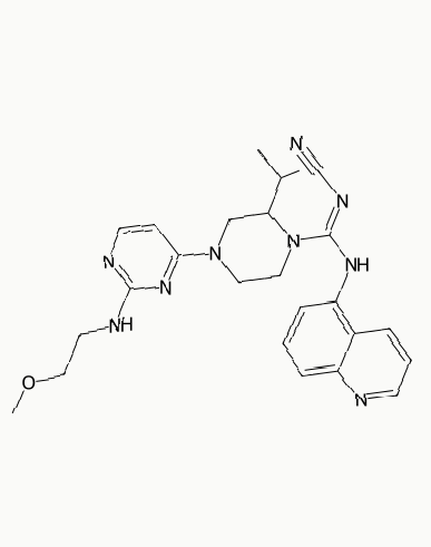 COCCNc1nccc(N2CCN(/C(=N\C#N)Nc3cccc4ncccc34)C(C(C)C)C2)n1